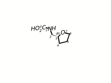 O=C(O)NC[C@H]1CCCO1